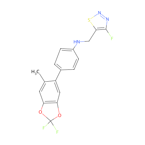 Cc1cc2c(cc1-c1ccc(NCc3snnc3F)cc1)OC(F)(F)O2